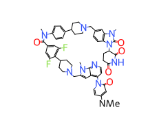 CNc1ccn(-c2ccnc3c2cc(CN2CCC(c4c(F)cc(C(=O)N(C)c5ccc(C6CCN(Cc7ccc8c(c7)n(C)c(=O)n8C7CCC(=O)NC7=O)CC6)cc5)cc4F)CC2)n3C)c(=O)c1